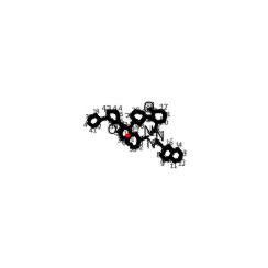 c1ccc(-c2nc(-c3ccc4ccccc4c3)nc(-c3cccc4oc5ccc(-c6cccc7oc8c(-c9ccccc9)cccc8c67)cc5c34)n2)cc1